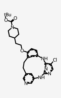 CC(C)(C)OC(=O)N1CCC(CCOc2ccc3cc2CCc2cncc(c2)Nc2ncc(Cl)c(n2)N3)CC1